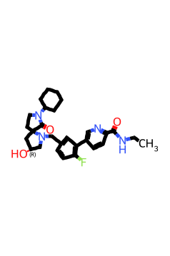 CCNC(=O)c1ccc(-c2cc(CN3C[C@H](O)CC34CCN(C3CCCCC3)C4=O)ccc2F)cn1